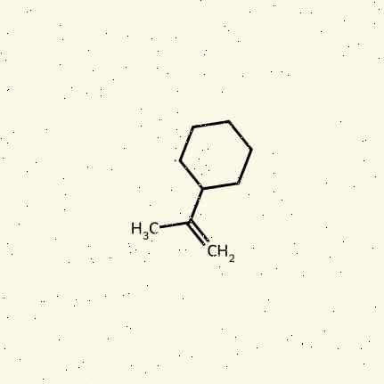 C=C(C)C1[CH]CCCC1